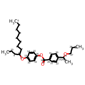 CCCCCCCCC(CCC)Oc1ccc(OC(=O)c2ccc(C(C)OCCC)cc2)cc1